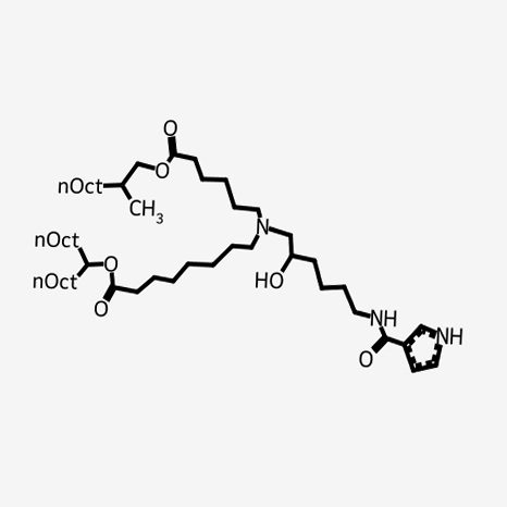 CCCCCCCCC(C)COC(=O)CCCCCN(CCCCCCCC(=O)OC(CCCCCCCC)CCCCCCCC)CC(O)CCCCNC(=O)c1cc[nH]c1